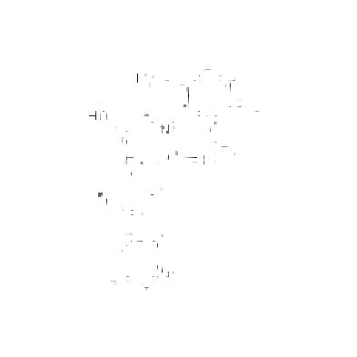 Cc1ccc(Cl)c(C)c1N(CC(=O)O)C(=O)CSC(=O)c1ccccc1